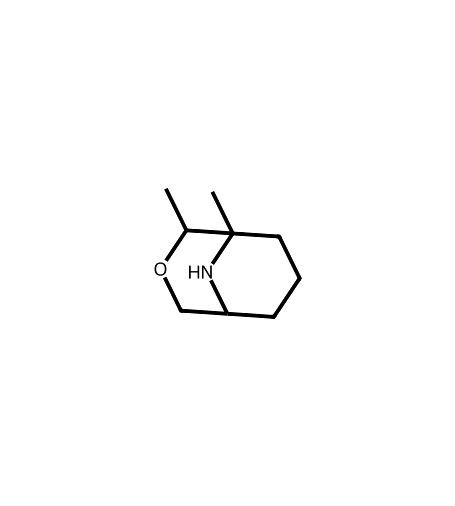 CC1OCC2CCCC1(C)N2